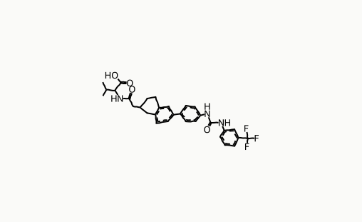 CC(C)C(NC(=O)CC1CCc2cc(-c3ccc(NC(=O)Nc4cccc(C(F)(F)F)c4)cc3)ccc2C1)C(=O)O